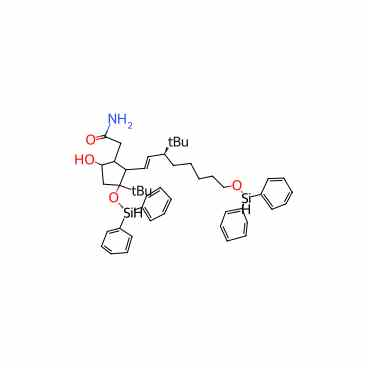 CC(C)(C)[C@H](C=CC1C(CC(N)=O)C(O)CC1(O[SiH](c1ccccc1)c1ccccc1)C(C)(C)C)CCCCCO[SiH](c1ccccc1)c1ccccc1